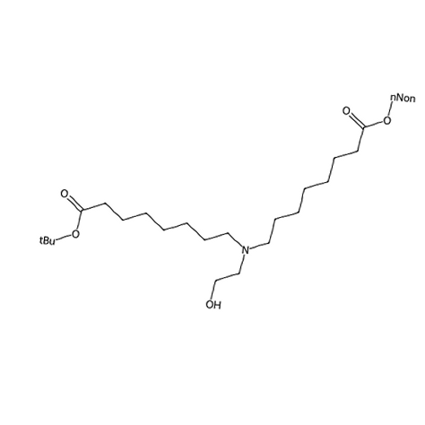 CCCCCCCCCOC(=O)CCCCCCCN(CCO)CCCCCCCC(=O)OC(C)(C)C